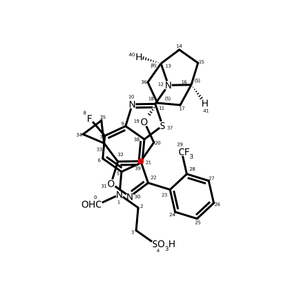 O=CN(CCS(=O)(=O)O)c1cc(F)c2nc(N3[C@@H]4CC[C@H]3C[C@H](OCc3c(-c5ccccc5C(F)(F)F)noc3C3CC3)C4)sc2c1